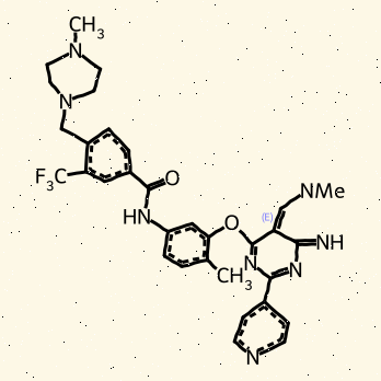 CN/C=C1\C(=N)N=C(c2ccncc2)N=C1Oc1cc(NC(=O)c2ccc(CN3CCN(C)CC3)c(C(F)(F)F)c2)ccc1C